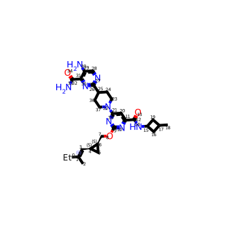 CC/C(C)=C/[C@@H]1C[C@@H]1COc1nc(C(=O)NC2CC(C)C2)cc(N2CCC(c3ncc(N)c(C(N)=O)n3)CC2)n1